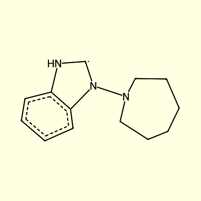 [CH]1Nc2ccccc2N1N1CCCCCC1